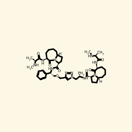 CN[C@@H](C)C(=O)N[C@H]1CCCC[C@H]2CC[C@@H](C(=O)N[C@@H](P)Cn3cc(COC[C@@H](NC(=O)[C@@H]4CC[C@@H]5CCCC[C@H](NC(=O)[C@H](C)NC)C(=O)N54)c4ccccc4)nn3)N2C1=O